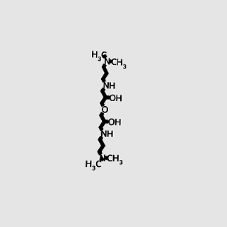 CN(C)CCCNCC(O)COCC(O)CNCCCN(C)C